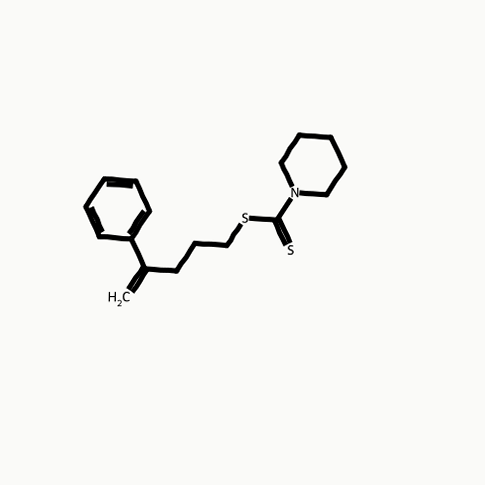 C=C(CCCSC(=S)N1CCCCC1)c1ccccc1